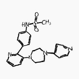 CS(=O)(=O)Nc1ccc(-c2ncccc2N2CCN(c3ccncc3)CC2)cc1